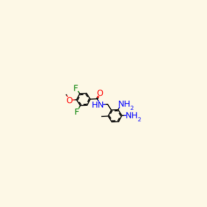 COc1c(F)cc(C(=O)NCc2c(C)ccc(N)c2N)cc1F